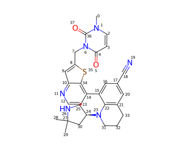 Cn1ccc(=O)n(Cc2cc3nccc(-c4cc(C#N)cc5c4N([C@@H]4CNC(C)(C)C4)CCC5)c3s2)c1=O